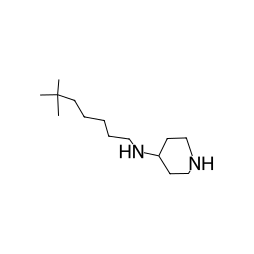 CC(C)(C)CCCCCNC1CCNCC1